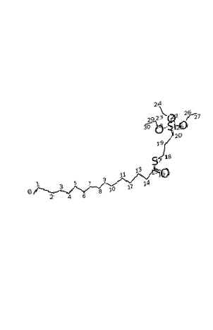 CCCCCCCCCCCCCCCC(=O)SCCC[Si](OCC)(OCC)OCC